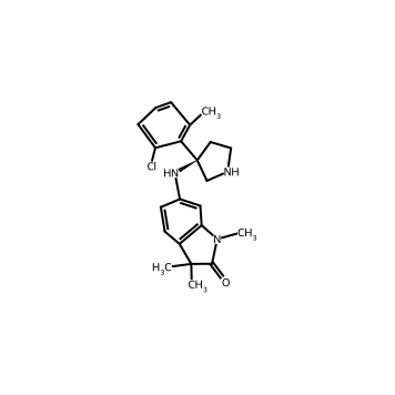 Cc1cccc(Cl)c1[C@]1(Nc2ccc3c(c2)N(C)C(=O)C3(C)C)CCNC1